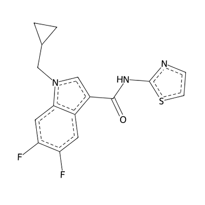 O=C(Nc1nccs1)c1cn(CC2CC2)c2cc(F)c(F)cc12